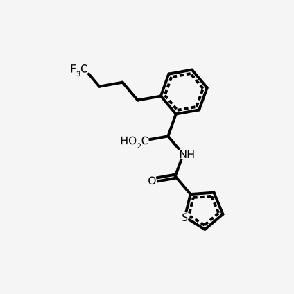 O=C(NC(C(=O)O)c1ccccc1CCCC(F)(F)F)c1cccs1